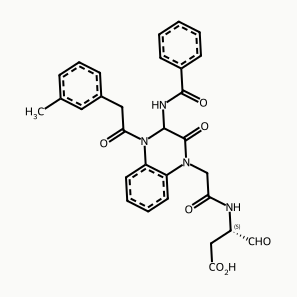 Cc1cccc(CC(=O)N2c3ccccc3N(CC(=O)N[C@H](C=O)CC(=O)O)C(=O)C2NC(=O)c2ccccc2)c1